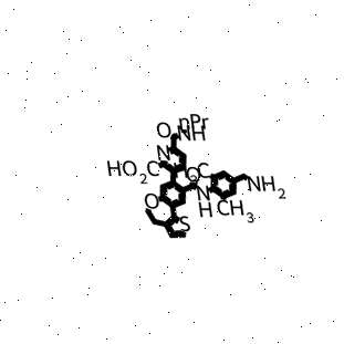 CCCNC(=O)c1ccc(-c2cc3c(cc2C(=O)Nc2c(C)cc(CN)cc2C)-c2sccc2CCO3)c(C(=O)O)n1